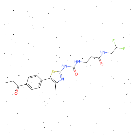 CCC(=O)c1ccc(-c2sc(NC(=O)NCCC(=O)NCC(F)F)nc2C)cc1